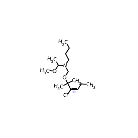 CC/C=C(/Cl)C(C)(C)OCN(CCCC)C(C)OC